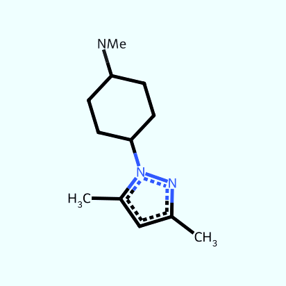 CNC1CCC(n2nc(C)cc2C)CC1